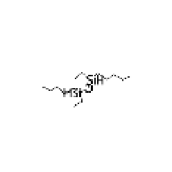 CCCCC[SiH](CC)O[SiH](CC)CCCCC